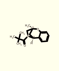 CC(C)(C)C(=O)N1C[C@]2(C)C[C@H]1c1ccccc1O2